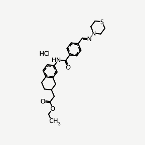 CCOC(=O)CC1CCc2ccc(NC(=O)c3ccc(C=NN4CCSCC4)cc3)cc2C1.Cl